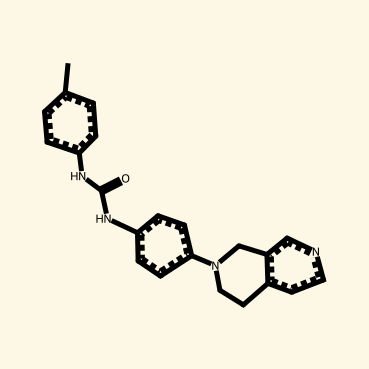 Cc1ccc(NC(=O)Nc2ccc(N3CCc4ccncc4C3)cc2)cc1